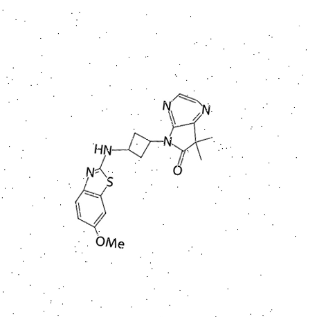 COc1ccc2nc(NC3CC(N4C(=O)C(C)(C)c5nccnc54)C3)sc2c1